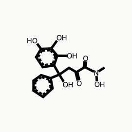 CN(O)C(=O)C(=O)CC(O)(c1ccccc1)c1ccc(O)c(O)c1O